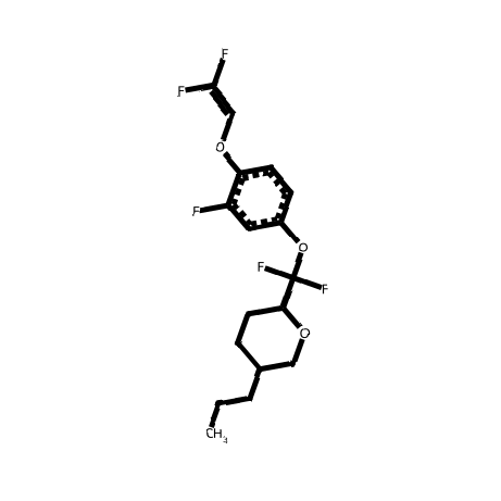 CCCC1CCC(C(F)(F)Oc2ccc(OC=C(F)F)c(F)c2)OC1